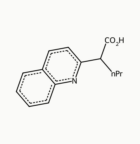 CCCC(C(=O)O)c1ccc2ccccc2n1